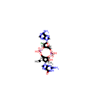 C#C[C@@H]1[C@@H]2COP(=O)(O)O[C@H]3[C@@H](F)[C@H](n4cnc5c(N)ncnc54)O[C@@H]3COP(=O)(O)O[C@H]2[C@](C)(O)[C@@H]1n1cnc2c(=O)[nH]c(N)nc21